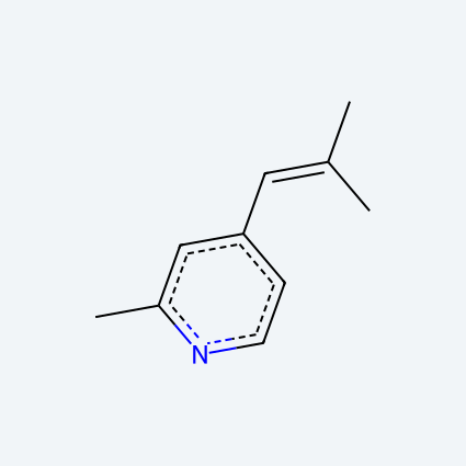 CC(C)=Cc1ccnc(C)c1